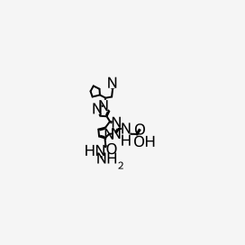 N#CCC(C1CCCC1)n1cc(-c2nc(NCC(=O)O)nn3c(C(=O)NN)ccc23)cn1